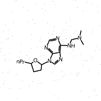 CCCC1CCC(n2cnc3c(NCN(C)C)ncnc32)O1